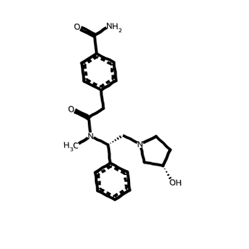 CN(C(=O)Cc1ccc(C(N)=O)cc1)[C@H](CN1CC[C@H](O)C1)c1ccccc1